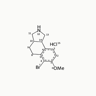 COc1ccc2c(c1Br)CCC1CNCC21.Cl